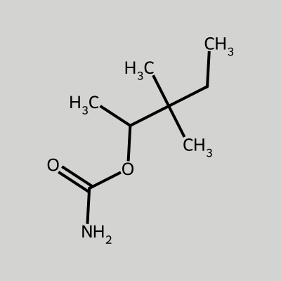 CCC(C)(C)C(C)OC(N)=O